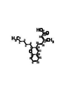 CCCCCC1Oc2ccccc2C=C1C=CC(C)=CC(=O)O